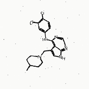 CC1CCN(Cc2c[nH]c3ncnc(Nc4ccc(Cl)c(Cl)c4)c23)CC1